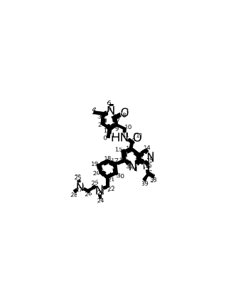 Cc1cc(C)n(C)c(=O)c1CNC(=O)c1cc(-c2cccc(CN(C)CCN(C)C)c2)nc2c1cnn2C(C)C